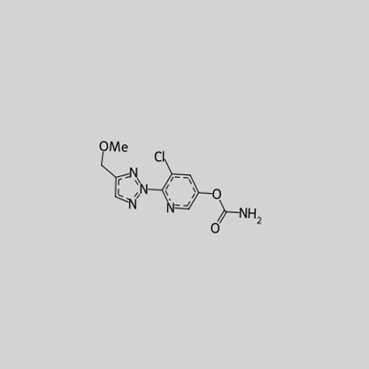 COCc1cnn(-c2ncc(OC(N)=O)cc2Cl)n1